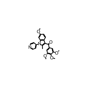 COc1ccc2c(C(=O)c3cc(OC)c(OC)c(OC)c3)c(C)n(-c3ccncc3)c2c1